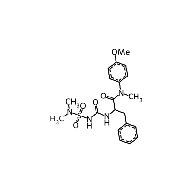 COc1ccc(N(C)C(=O)C(Cc2ccccc2)NC(=O)NS(=O)(=O)N(C)C)cc1